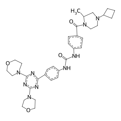 CC1CN(C2CCC2)CCN1C(=O)c1ccc(NC(=O)Nc2ccc(-c3nc(N4CCOCC4)nc(N4CCOCC4)n3)cc2)cc1